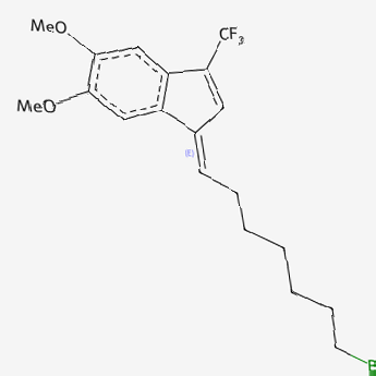 COc1cc2c(cc1OC)/C(=C/CCCCCCBr)C=C2C(F)(F)F